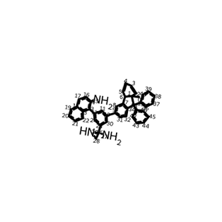 CC12C=CC=CC1c1cc(-c3cc(-c4c(N)ccc5ccccc45)cc([C@]4(N)CN4)c3)ccc1C2(c1ccccc1)c1ccccc1